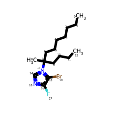 CCCCCCCC(C)(CCCC)n1cnc(F)c1Br